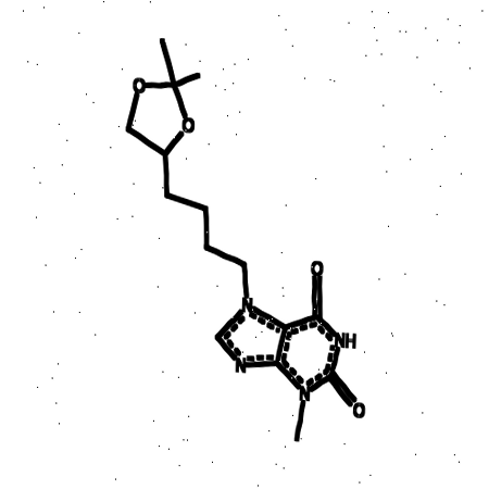 Cn1c(=O)[nH]c(=O)c2c1ncn2CCCCC1COC(C)(C)O1